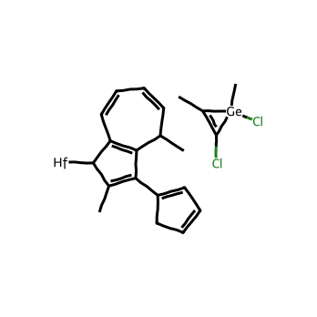 CC1=C(C2=CC=CC2)C2=C(C=CC=CC2C)[CH]1[Hf].C[C]1=[C](Cl)[Ge]1([CH3])[Cl]